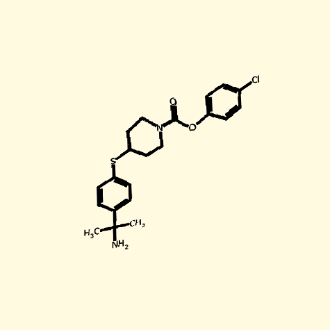 CC(C)(N)c1ccc(SC2CCN(C(=O)Oc3ccc(Cl)cc3)CC2)cc1